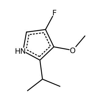 COc1c(F)c[nH]c1C(C)C